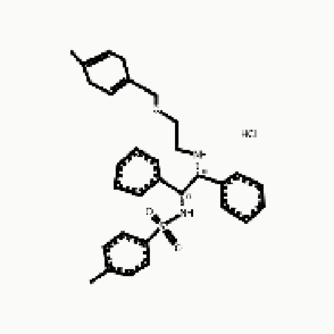 CC1=CCC(COCCN[C@H](c2ccccc2)[C@H](NS(=O)(=O)c2ccc(C)cc2)c2ccccc2)=CC1.Cl